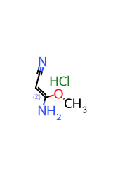 CO/C(N)=C\C#N.Cl